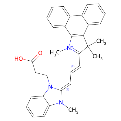 CN1/C(=C/C=C/C2=[N+](C)c3c(c4ccccc4c4ccccc34)C2(C)C)N(CCC(=O)O)c2ccccc21